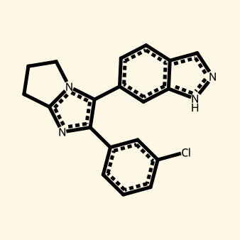 Clc1cccc(-c2nc3n(c2-c2ccc4cn[nH]c4c2)CCC3)c1